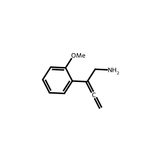 C=C=C(CN)c1ccccc1OC